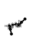 O=C(CCCC(=O)NC[C@@H](NC(=O)c1ccc(C#Cc2ccccc2)cc1)C(=O)NO)NC[C@H](NC(=O)c1ccc(C#Cc2ccccc2)cc1)C(=O)NO